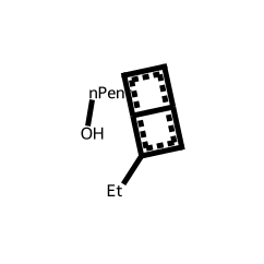 CCCCCO.CCc1cc2ccc1-2